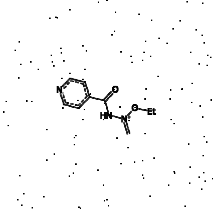 C=[N+](NC(=O)c1ccncc1)OCC